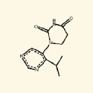 CC(C)c1ncncc1N1CCC(=O)NC1=O